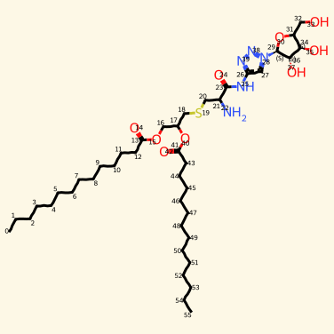 CCCCCCCCCCCCCC(=O)OCC(CSCC(N)C(=O)Nc1cn([C@H]2OC(CO)[C@@H](O)[C@@H]2O)nn1)OC(=O)CCCCCCCCCCCCC